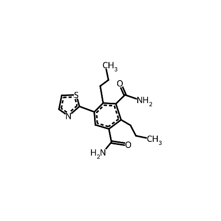 CCCc1c(C(N)=O)cc(-c2nccs2)c(CCC)c1C(N)=O